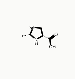 C[C@H]1N[C@@H](C(=O)O)C[Se]1